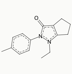 CCn1c2c(c(=O)n1-c1ccc(C)cc1)CCC2